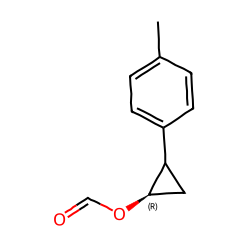 Cc1ccc(C2C[C@H]2OC=O)cc1